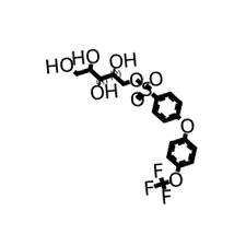 O=S(=O)(OC[C@@H](O)[C@H](O)C(O)CO)c1ccc(Oc2ccc(OC(F)(F)F)cc2)cc1